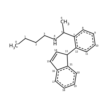 CCCCNC(C)c1ccccc1C1C=Cc2ccccc21